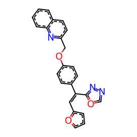 C(=C(c1ccc(OCc2ccc3ccccc3n2)cc1)c1nnco1)c1ccco1